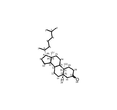 CC(C)CCCC(C)[C@H]1CCC2C3CC[C@H]4CC(=O)CC[C@]4(C)C3CC[C@@]21C